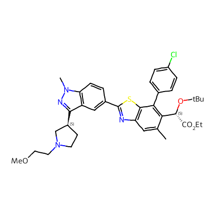 CCOC(=O)[C@@H](OC(C)(C)C)c1c(C)cc2nc(-c3ccc4c(c3)c([C@H]3CCN(CCOC)C3)nn4C)sc2c1-c1ccc(Cl)cc1